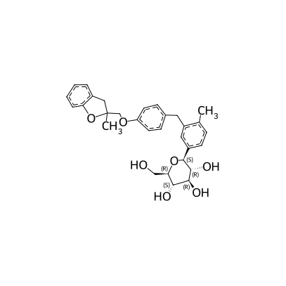 Cc1ccc([C@@H]2O[C@H](CO)[C@@H](O)[C@H](O)[C@H]2O)cc1Cc1ccc(OCC2(C)Cc3ccccc3O2)cc1